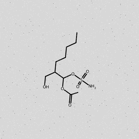 CCCCCC(CO)C(OC(C)=O)OS(N)(=O)=O